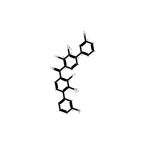 O=C(c1ccc(-c2cccc(Br)c2)c(C(F)(F)F)c1F)c1ccc(-c2cccc(Br)c2)c(C(F)(F)F)c1F